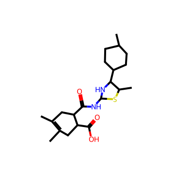 CC1=C(C)CC(C(=O)NC2NC(C3CCC(C)CC3)C(C)S2)C(C(=O)O)C1